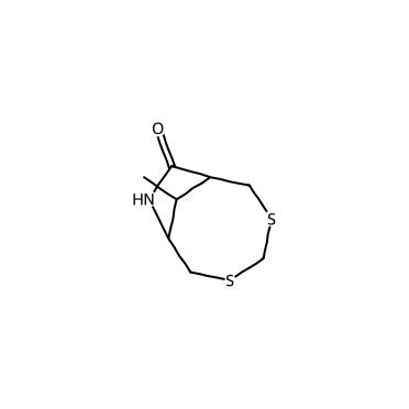 CC1C2CSCSCC1C(=O)N2